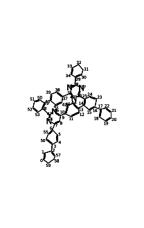 C1=CC(c2ccc(-c3cc(-c4ccc(-c5cc(-c6ccccc6)ccc5-c5nc(C6=CCCC=C6)nc(-c6ccccc6)n5)cc4)nc(-c4ccccc4)n3)cc2)=CCC1